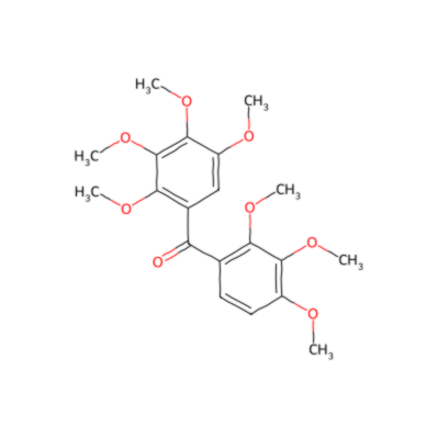 COc1ccc(C(=O)c2cc(OC)c(OC)c(OC)c2OC)c(OC)c1OC